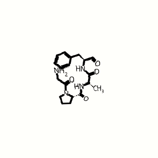 C[C@H](NC(=O)[C@@H]1CCCN1C(=O)CN)C(=O)N[C@H](C=O)Cc1ccccc1